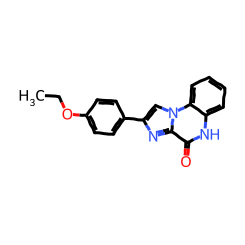 CCOc1ccc(-c2cn3c(n2)c(=O)[nH]c2ccccc23)cc1